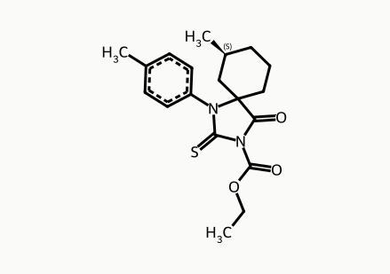 CCOC(=O)N1C(=O)C2(CCC[C@H](C)C2)N(c2ccc(C)cc2)C1=S